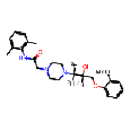 [2H]C(O)(COc1ccccc1OC)C([2H])([2H])N1CCN(CC(=O)Nc2c(C)cccc2C)CC1